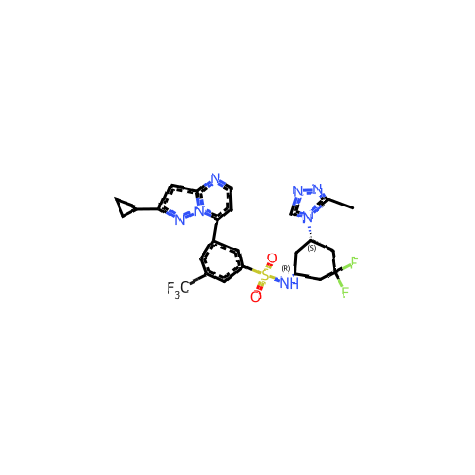 Cc1nncn1[C@H]1C[C@@H](NS(=O)(=O)c2cc(-c3ccnc4cc(C5CC5)nn34)cc(C(F)(F)F)c2)CC(F)(F)C1